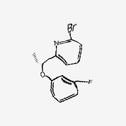 C[C@@H](Oc1cccc(F)c1)c1cccc(Br)n1